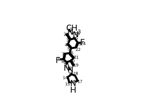 Cn1cc2cc(-c3cc(F)c4nn(C5CCNCC5)cc4c3)cc(F)c2n1